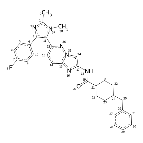 Cc1nc(-c2ccc(F)cc2)c(-c2ccc3nc(NC(=O)C4CCC(Cc5ccccc5)CC4)cn3n2)n1C